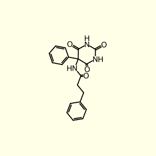 O=C(CCc1ccccc1)NC1(c2ccccc2)C(=O)NC(=O)NC1=O